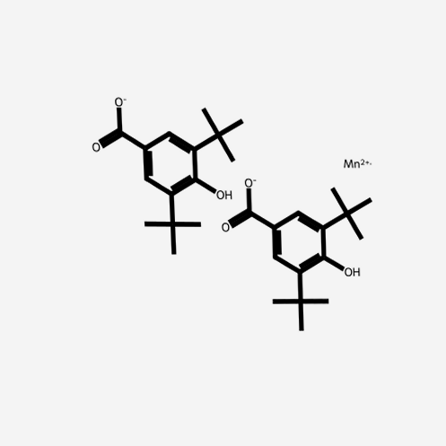 CC(C)(C)c1cc(C(=O)[O-])cc(C(C)(C)C)c1O.CC(C)(C)c1cc(C(=O)[O-])cc(C(C)(C)C)c1O.[Mn+2]